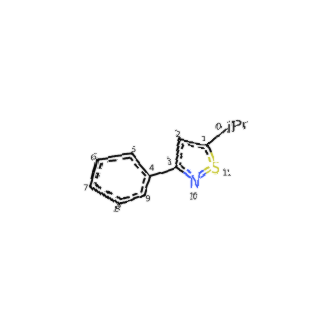 CC(C)c1cc(-c2ccccc2)ns1